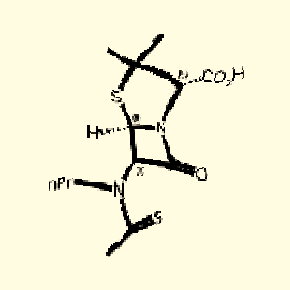 CCCN(C(C)=S)[C@@H]1C(=O)N2[C@@H]1SC(C)(C)[C@@H]2C(=O)O